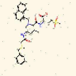 CC[C@H](C)[C@@H](CN(CC(=O)N[C@@H](CCS(C)(=O)=O)C(=O)O)Cc1cccc2ccccc12)NC(=O)CSCc1ccccc1